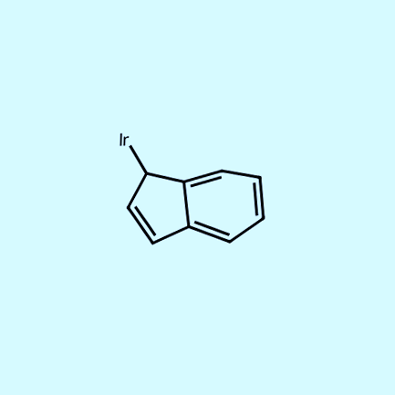 [Ir][CH]1C=Cc2ccccc21